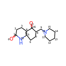 O=C1CCC2=C(CCC(CN3CCCCC3)C2=O)N1